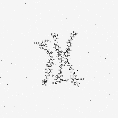 CC1(C)C(C(=O)O)=CC(N)=CC1(N)CCCOC(=O)/C=C/c1ccc(OC(=O)c2ccc(OCCCC(F)(F)C(F)(F)F)cc2)cc1.Nc1cc(N)c(CCOCCOC(=O)/C=C/c2ccc(OC(=O)c3ccc(OCCCC(F)(F)C(F)(F)F)cc3)cc2)c(C(=O)O)c1.Nc1cc(N)c(CCOCCOCCOC(=O)/C=C/c2ccc(OC(=O)c3ccc(OCCCC(F)(F)C(F)(F)F)cc3)cc2)c(C(=O)O)c1